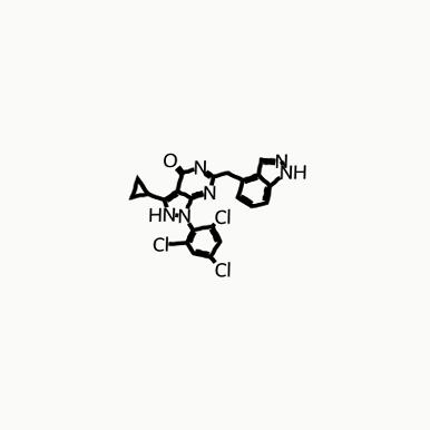 O=c1nc(Cc2cccc3[nH]ncc23)nc2n(-c3c(Cl)cc(Cl)cc3Cl)[nH]c(C3CC3)c1-2